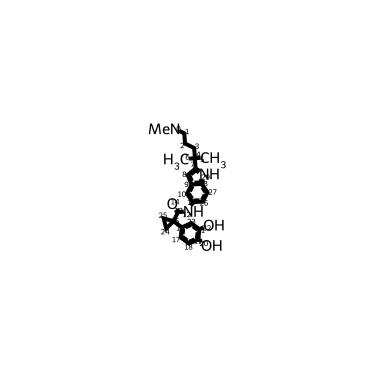 CNCCCC(C)(C)c1cc2cc(NC(=O)C3(c4ccc(O)c(O)c4)CC3)ccc2[nH]1